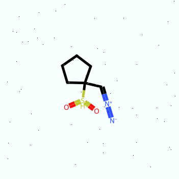 [N-]=[N+]=CC1([SH](=O)=O)CCCC1